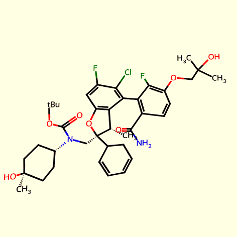 C[C@H]1c2c(cc(F)c(Cl)c2-c2c(C(N)=O)ccc(OCC(C)(C)O)c2F)O[C@]1(CN(C(=O)OC(C)(C)C)[C@H]1CC[C@](C)(O)CC1)C1C=CC=CC1